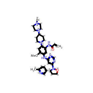 C=CC(=O)Nc1cc(Nc2cc(N3OCC[C@@H]3c3ccc(C)nc3)ncn2)c(OC)cc1N1CCC(N2CCN(C(C)=O)CC2)CC1